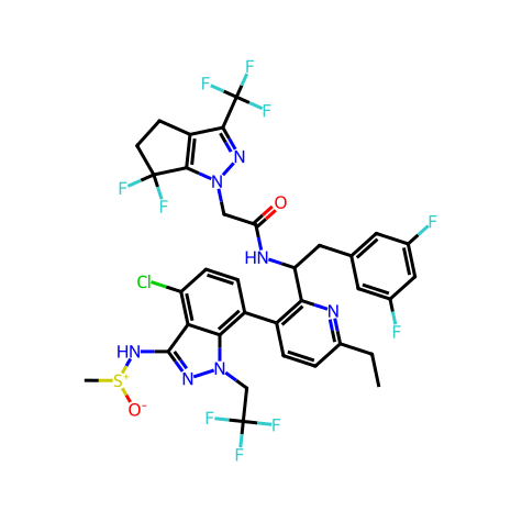 CCc1ccc(-c2ccc(Cl)c3c(N[S+](C)[O-])nn(CC(F)(F)F)c23)c(C(Cc2cc(F)cc(F)c2)NC(=O)Cn2nc(C(F)(F)F)c3c2C(F)(F)CC3)n1